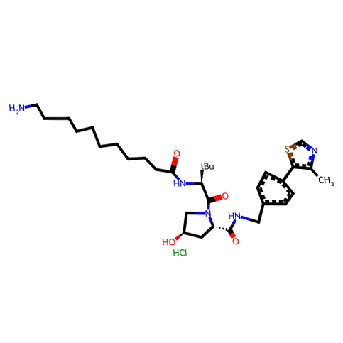 Cc1ncsc1-c1ccc(CNC(=O)[C@@H]2C[C@@H](O)CN2C(=O)[C@@H](NC(=O)CCCCCCCCCCN)C(C)(C)C)cc1.Cl